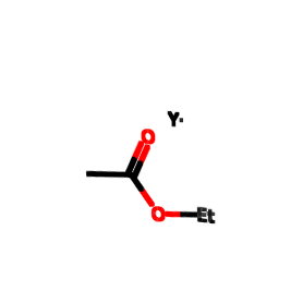 CCOC(C)=O.[Y]